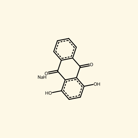 O=C1c2ccccc2C(=O)c2c(O)ccc(O)c21.[NaH]